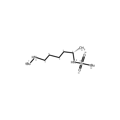 C[C@@H](CCCCNC(C)(C)C)NS(=O)(=O)C(C)(C)C